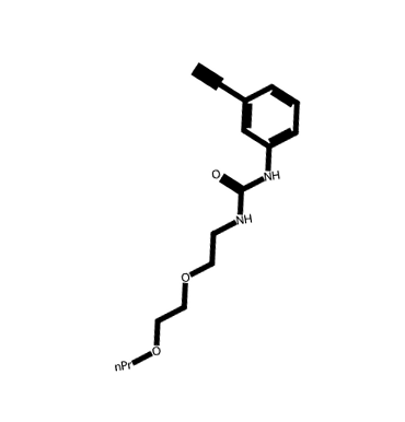 C#Cc1cccc(NC(=O)NCCOCCOCCC)c1